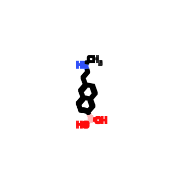 CNCCc1ccc2cc(B(O)O)ccc2c1